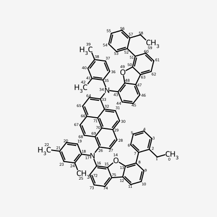 CCc1ccccc1-c1cccc2c1oc1c(N(c3ccc(C)cc3C)c3ccc4ccc5c(N(c6ccc(C)cc6C)c6cccc7c6oc6c(-c8ccccc8CC)cccc67)ccc6ccc3c4c65)cccc12